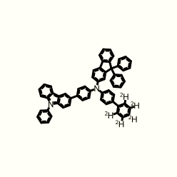 [2H]c1c([2H])c([2H])c(-c2ccc(N(c3ccc(-c4ccc5c(c4)c4ccccc4n5-c4ccccc4)cc3)c3ccc4c(c3)C(c3ccccc3)(c3ccccc3)c3ccccc3-4)cc2)c([2H])c1[2H]